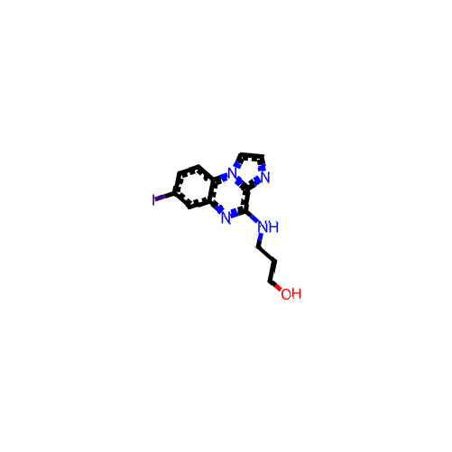 OCCCNc1nc2cc(I)ccc2n2ccnc12